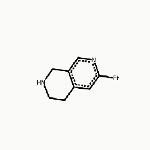 CCc1cc2c(cn1)CNCC2